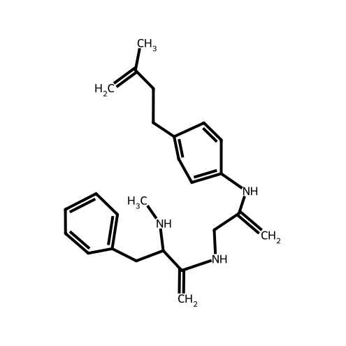 C=C(C)CCc1ccc(NC(=C)CNC(=C)C(Cc2ccccc2)NC)cc1